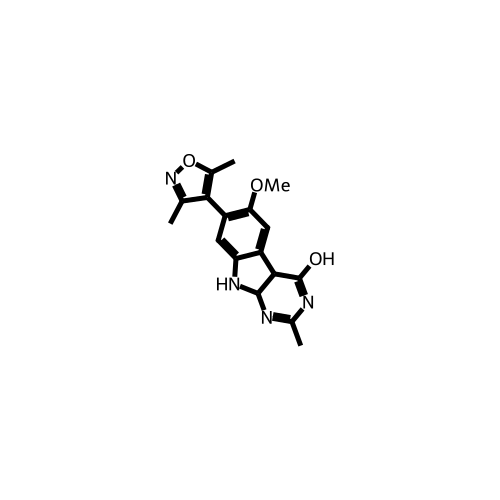 COc1cc2c(cc1-c1c(C)noc1C)NC1N=C(C)N=C(O)C21